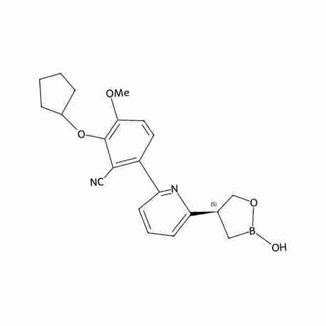 COc1ccc(-c2cccc([C@H]3COB(O)C3)n2)c(C#N)c1OC1CCCC1